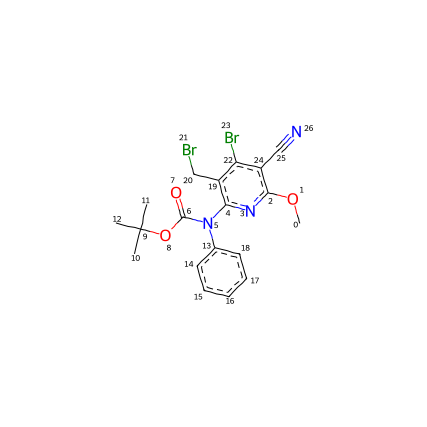 COc1nc(N(C(=O)OC(C)(C)C)c2ccccc2)c(CBr)c(Br)c1C#N